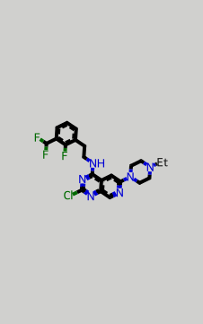 CCN1CCN(c2cc3c(NCCc4cccc(C(F)F)c4F)nc(Cl)nc3cn2)CC1